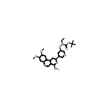 CCN(Oc1cncc(-c2cc3c(cnc4cc(OC)c(OC)cc43)c(N)n2)c1)C(=O)OC(C)(C)C